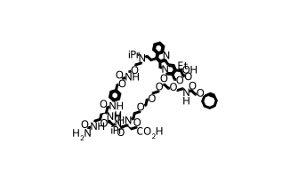 CC[C@@]1(O)C(=O)OCc2c1cc1n(c2=O)Cc2c-1nc1ccccc1c2CCN(CCOCNC(=O)OCc1ccc(NC(=O)[C@H](CCCNC(N)=O)NC(=O)[C@@H](NC(=O)[C@H](CCC(=O)O)NC(=O)CCOCCOCCOCCOCCNC(=O)COC2C#CCCCCC2)C(C)C)cc1)C(C)C